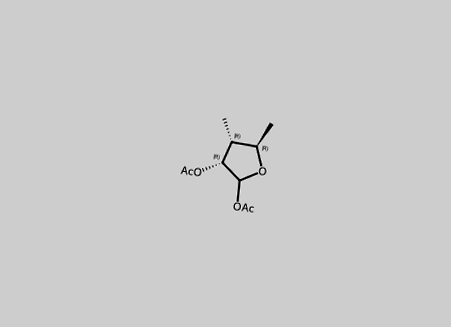 CC(=O)OC1O[C@H](C)[C@@H](C)[C@H]1OC(C)=O